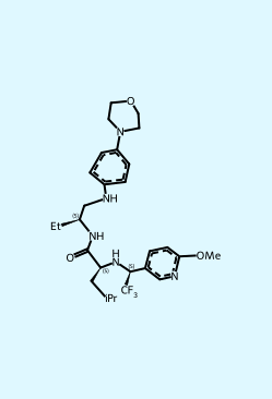 CC[C@@H](CNc1ccc(N2CCOCC2)cc1)NC(=O)[C@H](CC(C)C)N[C@@H](c1ccc(OC)nc1)C(F)(F)F